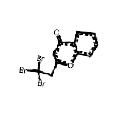 O=c1cc(CC(Br)(Br)Br)oc2ccccc12